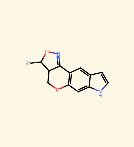 CCC1ON=C2c3cc4cc[nH]c4cc3OCC21